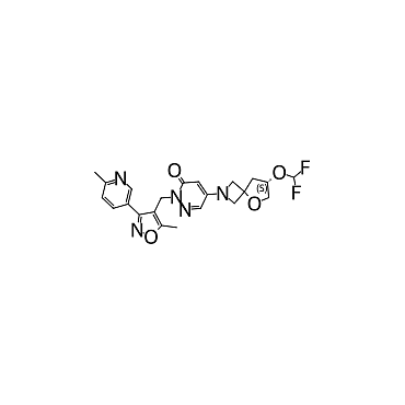 Cc1ccc(-c2noc(C)c2Cn2ncc(N3CC4(C[C@H](OC(F)F)CO4)C3)cc2=O)cn1